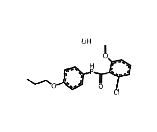 CCCOc1ccc(PC(=O)c2c(Cl)cccc2OC)cc1.[LiH]